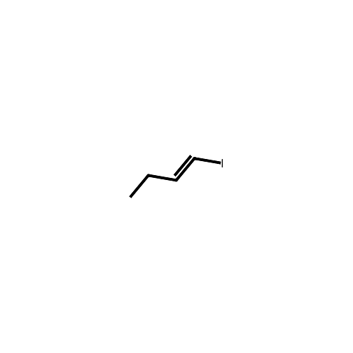 CCC=CI